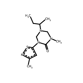 CCC(C)N1CN(C)C(=O)N(c2cc(C)ns2)C1